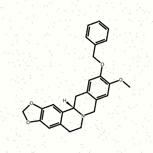 COc1cc2c(cc1OCc1ccccc1)C[C@H]1c3cc4c(cc3CCN1C2)OCO4